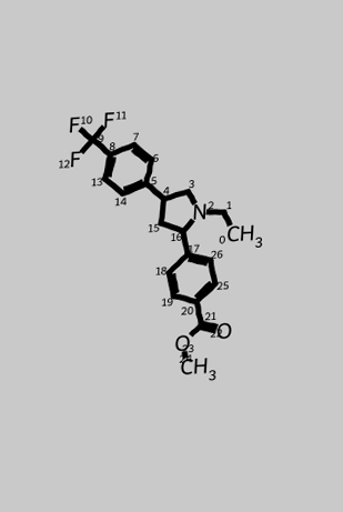 CCN1CC(c2ccc(C(F)(F)F)cc2)CC1c1ccc(C(=O)OC)cc1